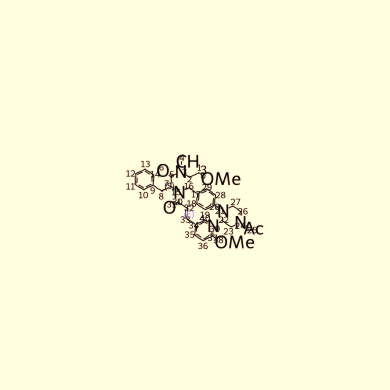 COCCN(C)C(=O)[C@H](Cc1ccccc1)N(Cc1ccc(N2CCN(C(C)=O)CC2)cc1)C(=O)/C=C/c1ccc(OC)nc1